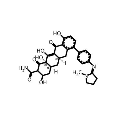 CN1CCCC1=Nc1ccc(-c2ccc(O)c3c2C[C@H]2C[C@H]4CC(O)C(C(N)=O)C(=O)[C@@]4(O)C(O)=C2C3=O)cc1